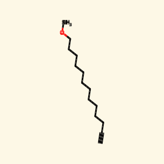 C#CCCCCCCCCCCCO[SiH3]